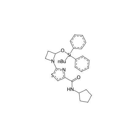 CCCC[Si](OC1CCN1c1nc(C(=O)NC2CCCC2)cs1)(c1ccccc1)c1ccccc1